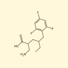 CCC(Cc1c(F)cc(F)cc1F)CC(CN)C(=O)O